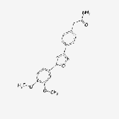 COc1ccc(-c2cc(-c3ccc(CC(N)=O)cc3)no2)cc1OC